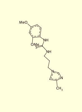 COc1ccc(NC(=S)NCCCn2cnc(C)c2)c(OC)c1